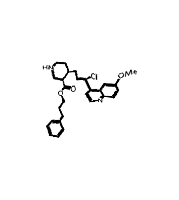 COc1ccc2nccc([C@H](Cl)CC[C@@H]3CCNC[C@@H]3C(=O)OCCCc3ccccc3)c2c1